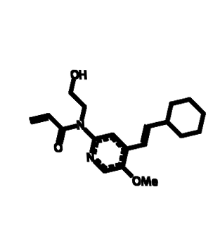 C=CC(=O)N(CCO)c1cc(/C=C/C2CCCCC2)c(OC)cn1